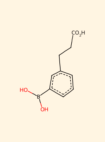 O=C(O)CCc1cccc(B(O)O)c1